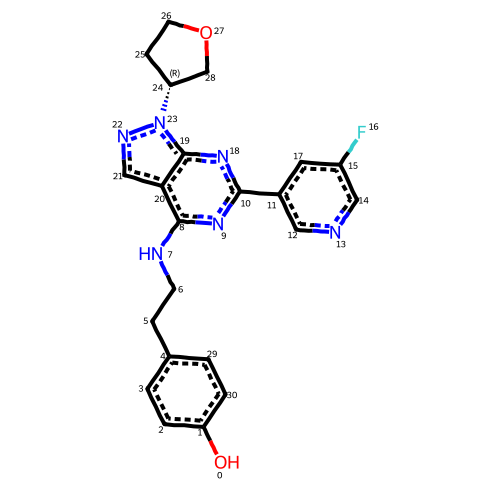 Oc1ccc(CCNc2nc(-c3cncc(F)c3)nc3c2cnn3[C@@H]2CCOC2)cc1